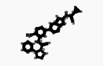 Cc1ncc(-c2ccn3nc(NC(=O)C4CC4)nc3c2)cc1NC(=O)N1OCC[C@H]1c1ccccc1